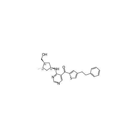 C[C@H]1C[C@H](Nc2ncncc2C(=O)c2cc(CCc3ccccc3)cs2)C[C@@H]1CO